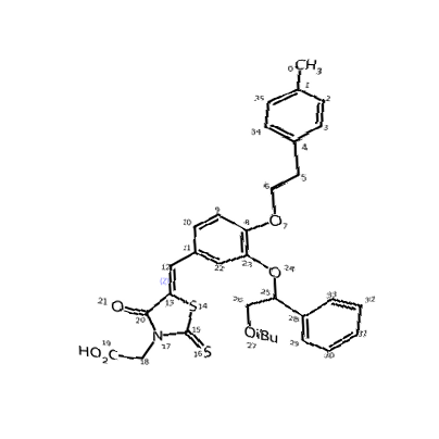 Cc1ccc(CCOc2ccc(/C=C3\SC(=S)N(CC(=O)O)C3=O)cc2OC(COCC(C)C)c2ccccc2)cc1